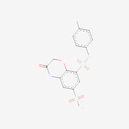 CCc1ccc(NS(=O)(=O)c2cc(S(C)(=O)=O)cc3c2OCC(=O)N3)cc1